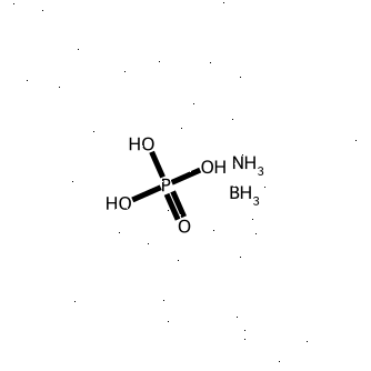 B.N.O=P(O)(O)O